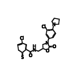 O=C(NCC1CN(c2ccc(N3CCCC3)c(Cl)c2)C(=O)O1)C1=CC(Cl)=CCC1=S